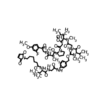 CC[C@H](C)C([C@@H](CC(=O)N1CCC[C@H]1[C@H](OC)[C@@H](C)C(=O)NCC(=O)c1ccc(OC)cc1F)OC)N(C)C(=O)CNC(=O)C(C(C)C)N(C)C(=O)OCc1ccc(NC(=O)CNC(=O)C(NC(=O)CCCCCN2C(=O)C=CC2=O)C(C)C)cc1